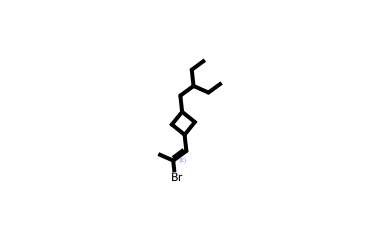 CCC(CC)CC1CC(/C=C(\C)Br)C1